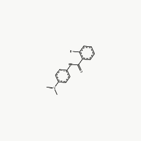 CN(C)c1ccc(NC(=O)c2ccccc2Br)cc1